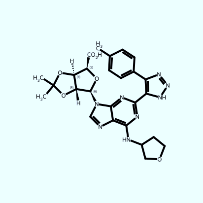 Cc1ccc(-c2nn[nH]c2-c2nc(NC3CCOC3)c3ncn([C@@H]4O[C@H](C(=O)O)[C@@H]5OC(C)(C)O[C@H]54)c3n2)cc1